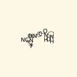 N#C[C@@H]1C[C@H](F)CN1C(=O)CNC12CCC(C(=O)NC3CCCCNC3=O)(CC1)CC2